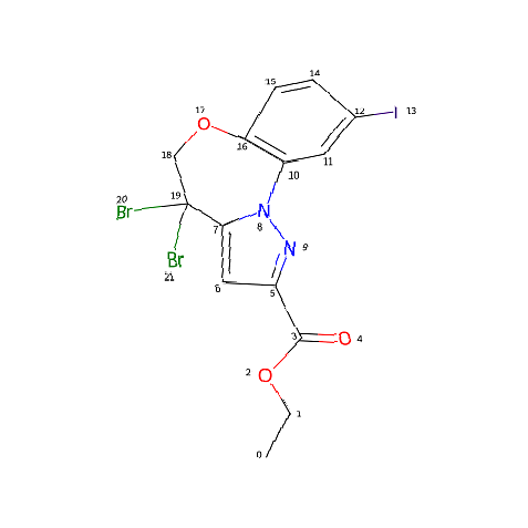 CCOC(=O)c1cc2n(n1)-c1cc(I)ccc1OCC2(Br)Br